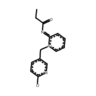 CCC(=O)/N=c1\ccccn1Cc1ccc(Cl)nc1